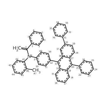 C=C(c1ccccc1)N(c1ccc(-c2c3ccccc3c(-c3ccccc3)c3ccc(-c4ccccc4)cc23)cc1)c1ccccc1C